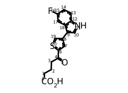 O=C(O)CCCC(=O)c1cc(-c2c[nH]c3ccc(F)cc23)cs1